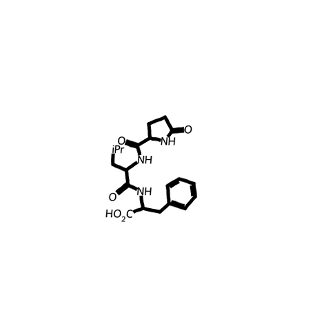 CC(C)CC(NC(=O)C1CCC(=O)N1)C(=O)NC(Cc1ccccc1)C(=O)O